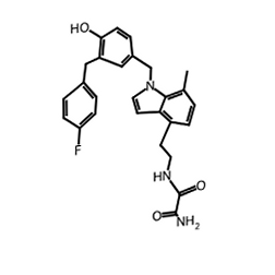 Cc1ccc(CCNC(=O)C(N)=O)c2ccn(Cc3ccc(O)c(Cc4ccc(F)cc4)c3)c12